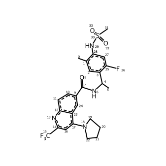 Cc1cc(C(C)NC(=O)c2ccc3nc(C(F)(F)F)cc(N4CCCC4)c3c2)c(F)cc1NS(C)(=O)=O